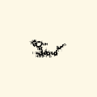 COc1cc(OCc2cccc(CNC(=O)CCCC=O)c2)c(Cl)cc1C(=O)O[C@H]1[C@@H](ONCC2CCC(CI)C(NC(=O)O)SC#CS3(F)C(O)C23)O[C@H](CO)[C@@H](O)[C@@H]1O